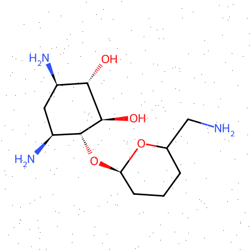 NCC1CCC[C@@H](O[C@H]2[C@H](O)[C@@H](O)[C@H](N)C[C@@H]2N)O1